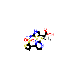 CSc1nccc(-c2ccsc2S(=O)(=O)Nc2ncc(CC(=O)O)s2)n1